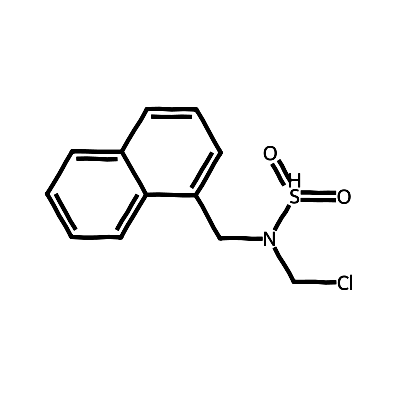 O=[SH](=O)N(CCl)Cc1cccc2ccccc12